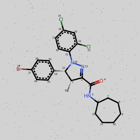 C[C@H]1C(C(=O)NC2CCCCCC2)=NN(c2ccc(Cl)cc2Cl)[C@H]1c1ccc(Br)cc1